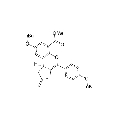 C=C1CC2=C(c3ccc(OCCCC)cc3)Oc3c(C(=O)OC)cc(OCCCC)cc3[C@@H]2C1